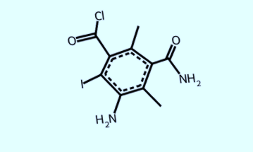 Cc1c(N)c(I)c(C(=O)Cl)c(C)c1C(N)=O